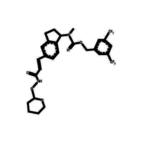 CN(C(=O)OCc1cc(C(F)(F)F)cc(C(F)(F)F)c1)C1CCc2cc(/C=C/C(=O)NOC3CCCCO3)ccc21